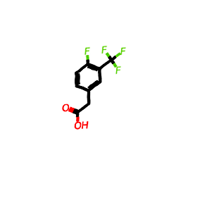 O=C(O)Cc1ccc(F)c(C(F)(F)F)c1